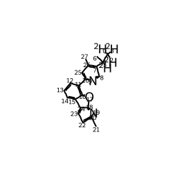 [2H]C([2H])([2H])C([2H])(C)c1cnc(-c2cccc3c2oc2nc(C)ccc23)cc1C